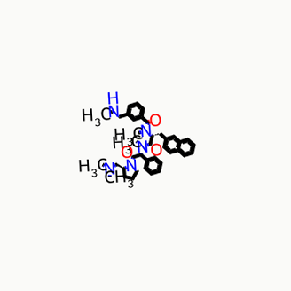 CNCc1cccc(C(=O)N(C)[C@H](Cc2ccc3ccccc3c2)C(=O)N(C)C(C(=O)N2CCC[C@H]2CN(C)C)c2ccccc2)c1